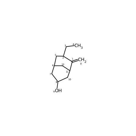 C=C1C(CC)CC2CC(O)CC1C2